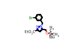 CCOC(=O)c1cc(CO[Si](C)(C)C(C)(C)C)n(Cc2cccc(Br)c2)n1